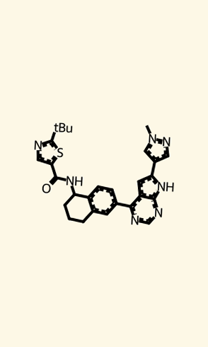 Cn1cc(-c2cc3c(-c4ccc5c(c4)CCCC5NC(=O)c4cnc(C(C)(C)C)s4)ncnc3[nH]2)cn1